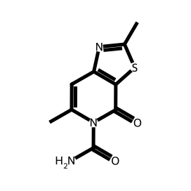 Cc1nc2cc(C)n(C(N)=O)c(=O)c2s1